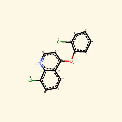 Clc1ccccc1Oc1ccnc2c(Cl)cccc12